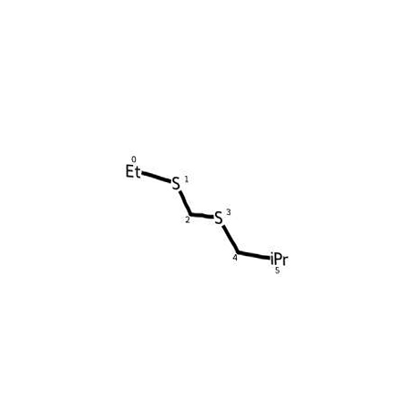 CCSCSCC(C)C